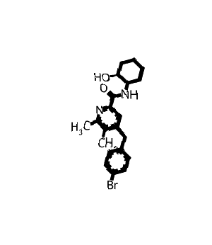 Cc1nc(C(=O)NC2CCCC[C@@H]2O)cc(Cc2ccc(Br)cc2)c1C